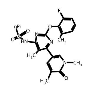 CCCS(=O)(=O)Nc1nc(Oc2c(C)cccc2F)nc(-c2cc(C)c(=O)n(C)c2)c1C